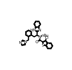 CCCCN(C(=O)c1sc2ccccc2c1Cl)C(Cc1ccccc1Cn1ccnc1)c1nc2ccccc2[nH]1